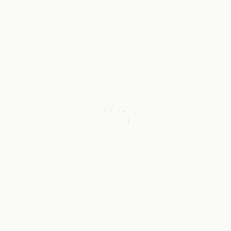 [Cd].[Pb].[Tl].[Zn]